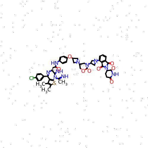 CC(=N)N1C(=N)[C@H](CC(=O)Nc2ccc(OC3CN([C@@H]4COC(=O)N(C5CN(c6cccc7c6C(=O)N(C6CCC(=O)NC6=O)C7=O)C5)C4)C3)cc2)N=C(c2ccc(Cl)cc2)c2c1sc(C)c2C